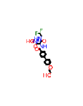 O=C(NC(C(=O)NO)C(=O)NCC(F)F)c1ccc(-c2ccc(OCCO)cc2)cc1